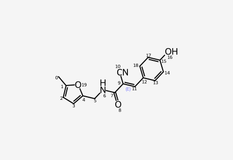 Cc1ccc(CNC(=O)/C(C#N)=C/c2ccc(O)cc2)o1